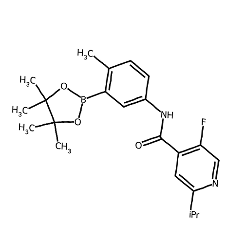 Cc1ccc(NC(=O)c2cc(C(C)C)ncc2F)cc1B1OC(C)(C)C(C)(C)O1